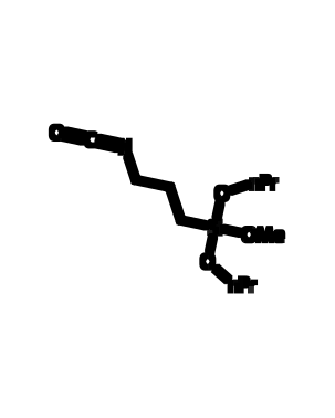 CCCO[Si](CCCN=C=O)(OC)OCCC